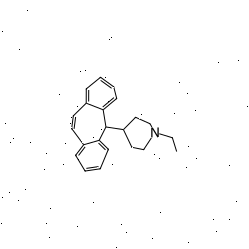 CCN1CCC(C2c3ccccc3C=Cc3ccccc32)CC1